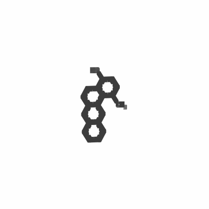 Cc1ccc(O)c2ccc3cc4ccccc4cc3c12